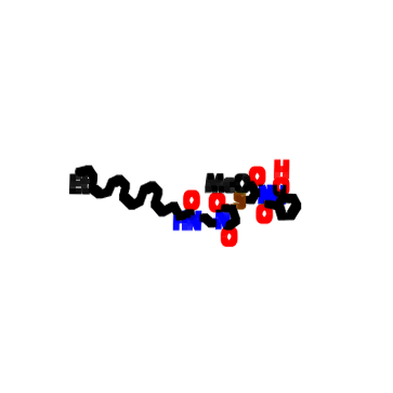 CC/C=C\C/C=C\C/C=C\C/C=C\C/C=C\C/C=C\CCC(=O)NCCN1C(=O)C[C@@H](SCC(NC(=O)c2ccccc2O)C(=O)OC)C1=O